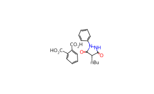 CCCCC1C(=O)NN(c2ccccc2)C1=O.O=C(O)c1ccccc1C(=O)O